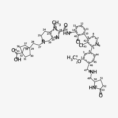 COc1cc(-c2nccc(-c3cccc(NC(=O)c4nc5c(n4C)CCN(CCC46CCC(C(=O)O)(CC4)C6)C5)c3Cl)c2Cl)ccc1CNCC1CCC(=O)N1